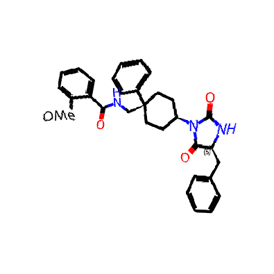 COc1ccccc1C(=O)NC[C@]1(c2ccccc2)CC[C@H](N2C(=O)N[C@@H](Cc3ccccc3)C2=O)CC1